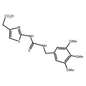 CCOC(=O)Cc1csc(NC(=S)NCc2cc(OC)c(OC)c(OC)c2)n1